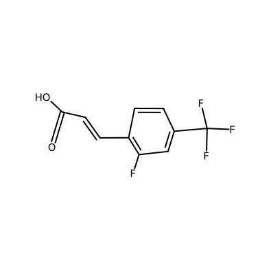 O=C(O)C=Cc1ccc(C(F)(F)F)cc1F